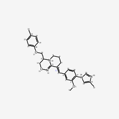 COc1cc(/C=C2\CCCN3C2=NOCC3COc2ccc(C)cc2)ccc1-n1cnc(C)c1